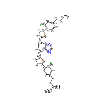 CCCCC(CC)CCc1ccc(-c2ccc(-c3ccc(-c4ccc(-c5ccc(CCC(C)C)cc5F)s4)c4nsnc34)s2)c(F)c1